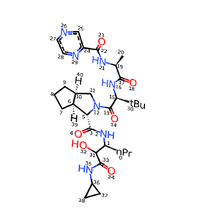 CCCC(NC(=O)[C@@H]1[C@H]2CCC[C@H]2CN1C(=O)[C@@H](NC(=O)[C@H](C)NC(=O)c1cnccn1)C(C)(C)C)C(O)C(=O)NC1CC1